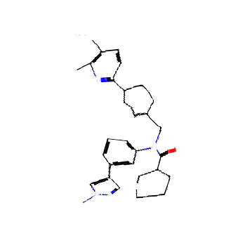 COc1ccc(C2CCC(CN(C(=O)C3CCCCC3)c3cccc(-c4cnn(C(C)C)c4)c3)CC2)nc1C